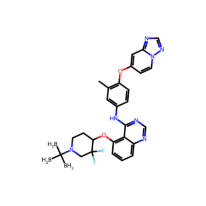 BC(B)(B)N1CCC(Oc2cccc3ncnc(Nc4ccc(Oc5ccn6ncnc6c5)c(C)c4)c23)C(F)(F)C1